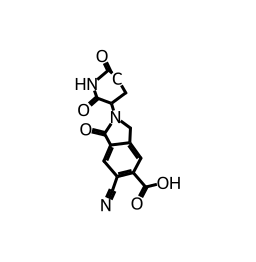 N#Cc1cc2c(cc1C(=O)O)CN(C1CCC(=O)NC1=O)C2=O